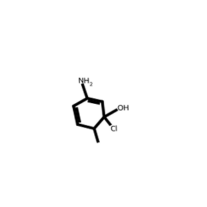 CC1C=CC(N)=CC1(O)Cl